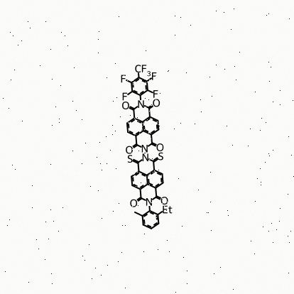 CCc1cccc(C)c1N1C(=O)c2ccc3c4c(ccc(c24)C1=O)C(=S)N(N1C(=O)c2ccc4c5c(ccc(c25)C1=O)C(=O)N(c1c(F)c(F)c(C(F)(F)F)c(F)c1F)C4=O)C3=S